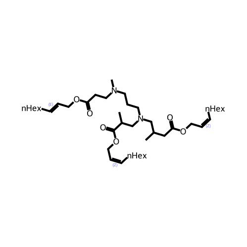 CCCCCC/C=C\COC(=O)CC(C)CN(CCCN(C)CCC(=O)OC/C=C/CCCCCC)CC(C)C(=O)OC/C=C\CCCCCC